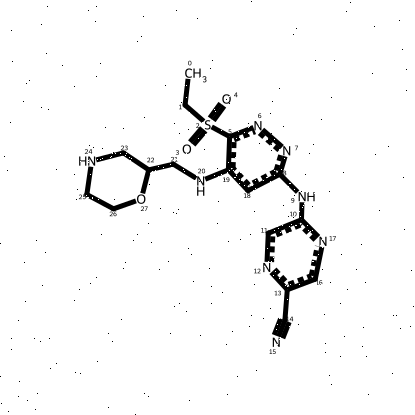 CCS(=O)(=O)c1nnc(Nc2cnc(C#N)cn2)cc1NCC1CNCCO1